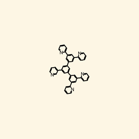 c1ccc(-c2cc(-c3cc(-c4cccnc4)cc(-c4cc(-c5ccccn5)cc(-c5ccccn5)c4)c3)cc(-c3ccccn3)c2)nc1